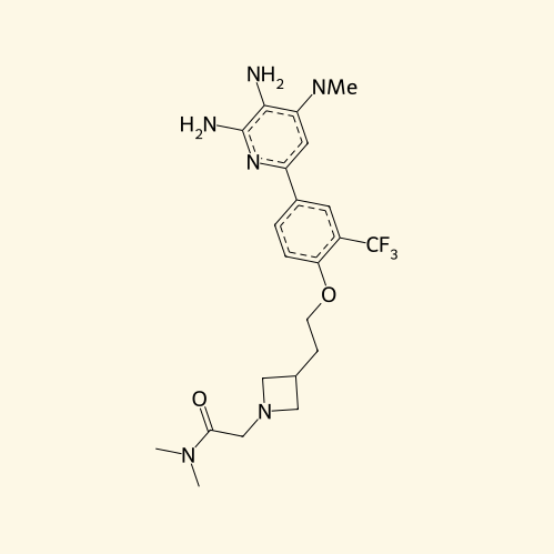 CNc1cc(-c2ccc(OCCC3CN(CC(=O)N(C)C)C3)c(C(F)(F)F)c2)nc(N)c1N